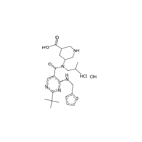 CC(C)CN(C(=O)c1cnc(C(C)(C)C)nc1NCc1ccco1)C1CNCC(C(=O)O)C1.Cl.Cl